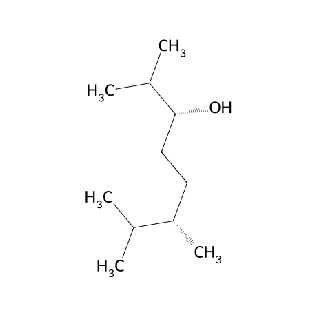 CC(C)[C@H](O)CC[C@H](C)C(C)C